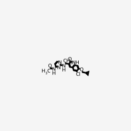 CC(=O)Nc1ccnc(N[C@@H](C)c2cc3cc(Cl)c(OCC4CC4)cc3[nH]c2=O)n1